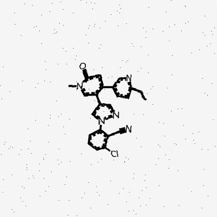 CCc1ccc(-c2cc(=O)n(C)cc2-c2cnn(-c3cccc(Cl)c3C#N)c2)cn1